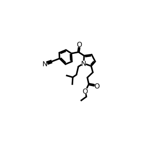 CCOC(=O)CCc1ccc(C(=O)c2ccc(C#N)cc2)n1CCC(C)C